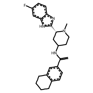 C=C(NC1CCN(C)[C@@H](c2nc3ccc(F)cc3[nH]2)C1)c1ccc2c(c1)CCCC2